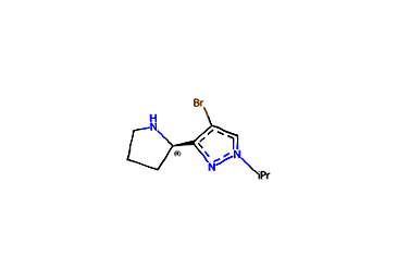 CC(C)n1cc(Br)c([C@H]2CCCN2)n1